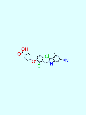 Cc1cc(C#N)cc2c1cc(Cc1c(Cl)ccc(O[C@H]3CC[C@@H](C(=O)O)CC3)c1Cl)n2C